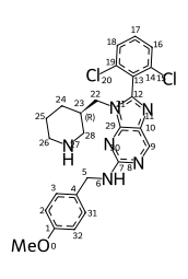 COc1ccc(CNc2ncc3nc(-c4c(Cl)cccc4Cl)n(C[C@@H]4CCCNC4)c3n2)cc1